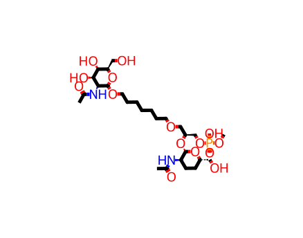 COP(=O)(O)OC[C@H](COCCCCCCCOC1O[C@H](CO)[C@H](O)[C@H](O)[C@H]1NC(C)=O)O[C@@H]1O[C@H](CO)CC[C@H]1NC(C)=O